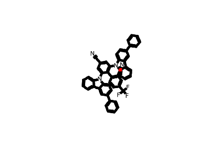 N#Cc1cc(-n2c3ccccc3c3cc(-c4ccccc4)ccc32)c(-c2ccc(C(F)(F)F)cc2C#N)c(-n2c3ccccc3c3cc(-c4ccccc4)ccc32)c1